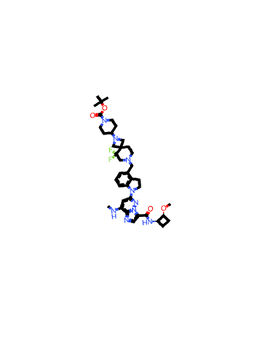 CNc1cc(N2CCc3c(CN4CCC5(CN(C6CCN(C(=O)OC(C)(C)C)CC6)C5)C(F)(F)C4)cccc32)nn2c(C(=O)N[C@@H]3CC[C@H]3OC)cnc12